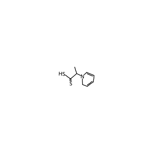 CC(C(=S)S)N1C=CC=CC1